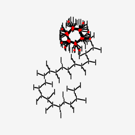 II(I)I(I)I(I)I(I)I(I)I(I)I(I)I(I)I(I)I(I)I(I)I(I)I(I)I(I)I(I)I(I)I(I)I(I)I(I)I(I)I(I)I(I)I(I)I(I)I(I)I(I)I(I)I(I)I(I)I(I)I(I)I(I)I(I)I(I)I(I)I(I)I(I)I(I)I(I)I(I)I(I)I(I)I(I)I(I)I(I)I(I)I(I)I(I)I(I)I(I)I(I)I(I)I(I)I(I)I(I)I(I)I(I)I(I)I(I)I(I)I(I)I(I)I(I)I(I)I(I)I(I)I(I)I(I)I